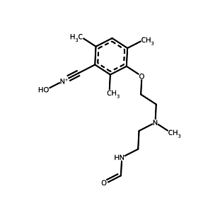 Cc1cc(C)c(OCCN(C)CCNC=O)c(C)c1C#[N+]O